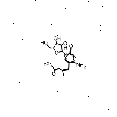 CCCC(=O)CC(C)=Cc1cn([C@@H]2O[C@H](CO)[C@@H](O)[C@H]2O)c(=O)nc1N